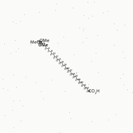 CO[Si](CCCCCCCCCCCCCCCCCCCCCCCCCCCCCCCCCCC(=O)O)(OC)OC